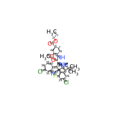 CCCOC(=O)c1ccc(NC(=O)[C@@H]2NC(CC(C)(C)C)[C@](C#N)(c3ccc(Cl)cc3F)C2C2C#CC(Cl)=CC=C2)c(OC)c1